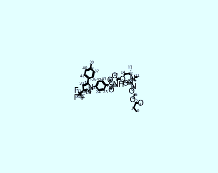 CCC(=O)OCON=[N+]([O-])N(C)[C@@H](C)COC(=O)NS(=O)(=O)c1ccc(-n2nc(C(F)(F)F)cc2-c2ccc(C)cc2)cc1